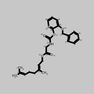 CC(C)=CCC/C(C)=C/COC(=O)CNC(=O)Oc1ncccc1OCc1ccccc1